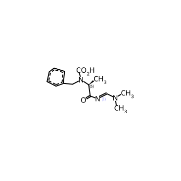 C[C@@H](C(=O)/N=C/N(C)C)N(Cc1ccccc1)C(=O)O